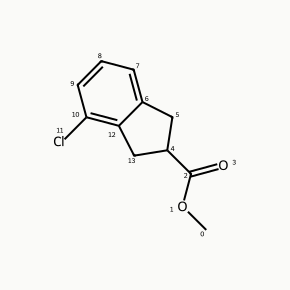 COC(=O)C1Cc2cccc(Cl)c2C1